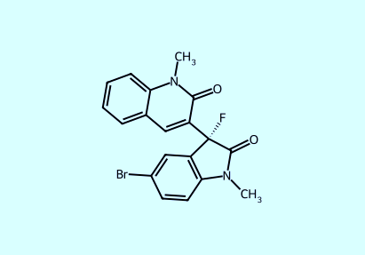 CN1C(=O)[C@](F)(c2cc3ccccc3n(C)c2=O)c2cc(Br)ccc21